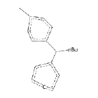 CCCCC(c1ccccc1)c1ccc(C)cc1